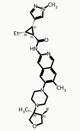 CC[C@H]1[C@H](C(=O)Nc2cc3cc(N4CCN([C@]5(C)COC[C@@H]5F)CC4)c(C)cc3cn2)[C@H]1c1cnn(C)c1